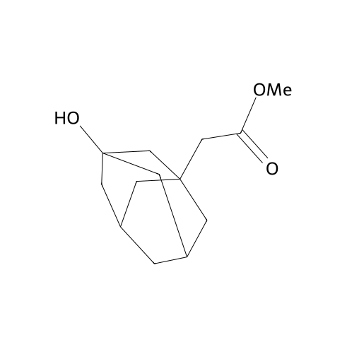 COC(=O)CC12CC3CC(CC(O)(C3)C1)C2